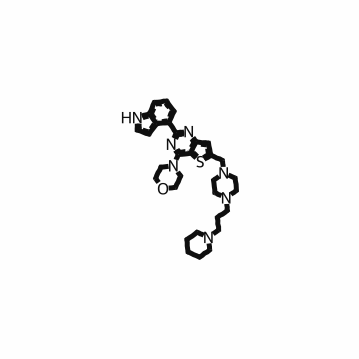 c1cc(-c2nc(N3CCOCC3)c3sc(CN4CCN(CCCN5CCCCC5)CC4)cc3n2)c2cc[nH]c2c1